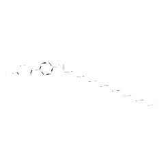 CCCCCCCCCCCCCCCCNc1ccc(C(=O)OC(C)C(=O)O)cc1